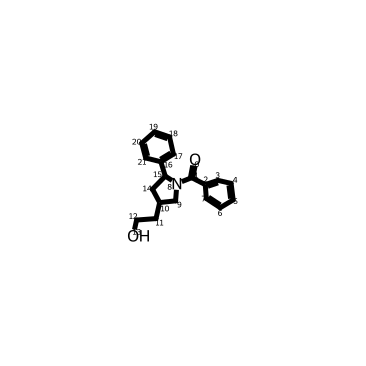 O=C(c1ccccc1)N1CC(CCO)CC1c1ccccc1